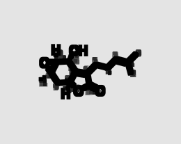 CC(C)=CCCC1=C2[C@H](C[C@@]3(C)O[C@H]3[C@H]2O)OC1=O